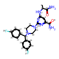 CC(Nc1cc(C(N)=O)nc(N2CCN(C(c3ccc(F)cc3)c3ccc(F)cc3)CC2)n1)C(N)=O